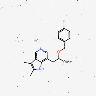 COC(Cc1cncc2c(C)c(C)[nH]c12)OCc1ccc(F)cc1.Cl